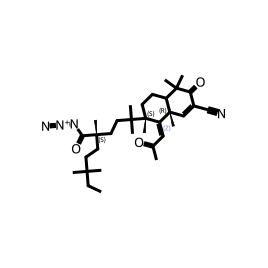 CCC(C)(C)CC[C@@](C)(CCC(C)(C)[C@]1(C)CCC2C(C)(C)C(=O)C(C#N)=C[C@]2(C)/C1=C/C(C)=O)C(=O)N=[N+]=[N-]